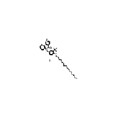 CCCCCCCCCCCCCCCCOc1ccc(CN(C(=O)c2cc[n+](C)cc2)c2ccccc2)cc1C(C)(C)C.[I-]